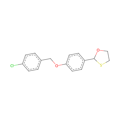 Clc1ccc(COc2ccc(C3OCCS3)cc2)cc1